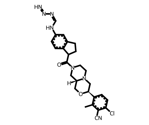 Cc1c([C@@H]2CN3CCN(C(=O)C4CCc5cc(N/C=N\N=N)ccc54)C[C@H]3CO2)ccc(Cl)c1C#N